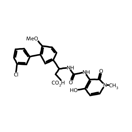 COc1ccc(C(CC(=O)O)NC(=O)Nc2c(O)ccn(C)c2=O)cc1-c1cccc(Cl)c1